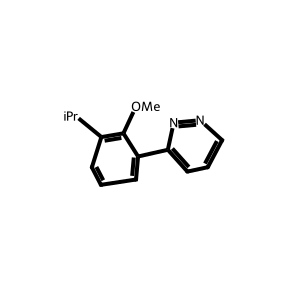 COc1c(-c2cccnn2)cccc1C(C)C